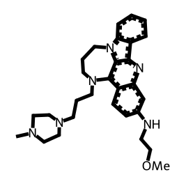 COCCNc1ccc2c3c4c(nc2c1)c1ccccc1n4CCCN3CCCN1CCN(C)CC1